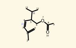 C=C(C)/C=C\C(COC(C)=O)C(C)C